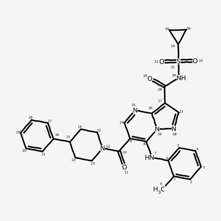 Cc1ccccc1Nc1c(C(=O)N2CCC(c3ccccc3)CC2)cnc2c(C(=O)NS(=O)(=O)C3CC3)cnn12